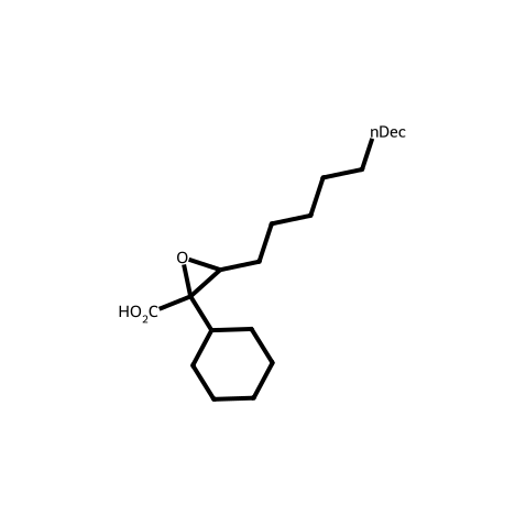 CCCCCCCCCCCCCCCC1OC1(C(=O)O)C1CCCCC1